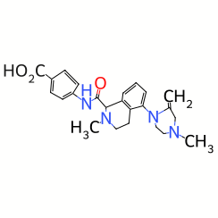 C=C1CN(C)CCN1c1cccc2c1CCN(C)C2C(=O)Nc1ccc(C(=O)O)cc1